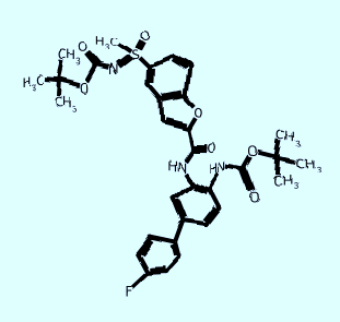 CC(C)(C)OC(=O)N=S(C)(=O)c1ccc2oc(C(=O)Nc3cc(-c4ccc(F)cc4)ccc3NC(=O)OC(C)(C)C)cc2c1